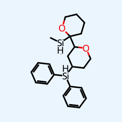 C[SiH](C)C1(C2CC([SiH](c3ccccc3)c3ccccc3)CCO2)CCCCO1